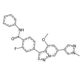 COc1cc(-c2cnn(C)c2)cn2ncc(-c3ccc(C(=O)Nc4ccccc4)c(F)c3)c12